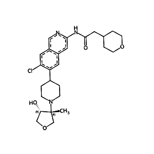 C[C@@]1(N2CCC(c3cc4cc(NC(=O)CC5CCOCC5)ncc4cc3Cl)CC2)COC[C@@H]1O